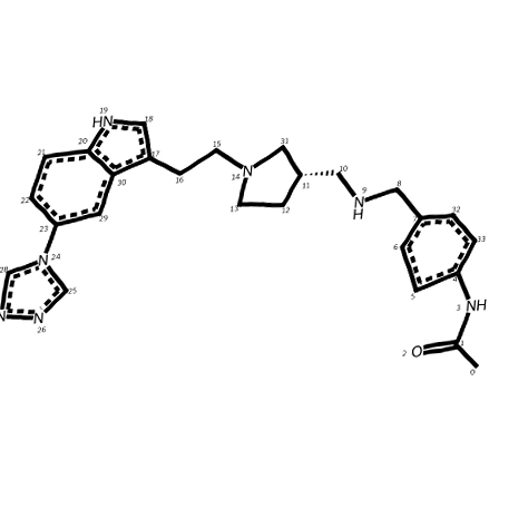 CC(=O)Nc1ccc(CNC[C@@H]2CCN(CCc3c[nH]c4ccc(-n5cnnc5)cc34)C2)cc1